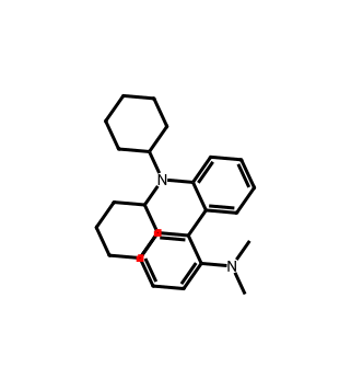 CN(C)c1ccccc1-c1ccccc1N(C1CCCCC1)C1CCCCC1